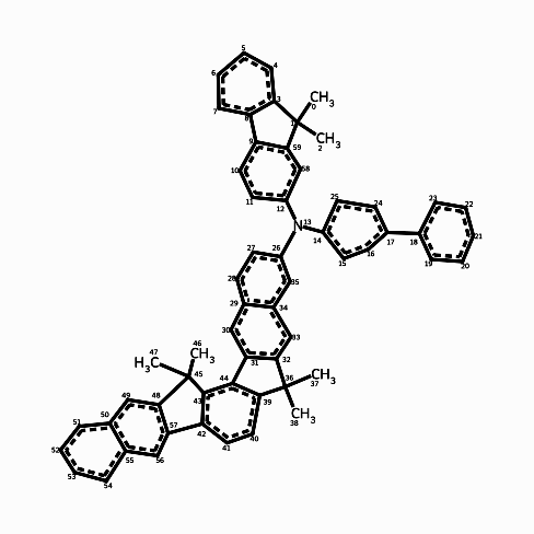 CC1(C)c2ccccc2-c2ccc(N(c3ccc(-c4ccccc4)cc3)c3ccc4cc5c(cc4c3)C(C)(C)c3ccc4c(c3-5)C(C)(C)c3cc5ccccc5cc3-4)cc21